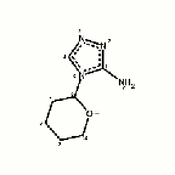 Nc1nncn1C1CCCCO1